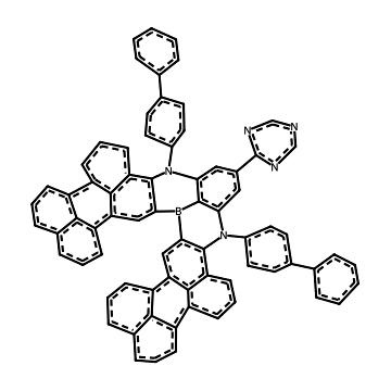 c1ccc(-c2ccc(N3c4cc(-c5ncncn5)cc5c4B(c4cc6c7cccc8cccc(c9cccc(c43)c96)c87)c3cc4c6cccc7cccc(c8cccc(c3N5c3ccc(-c5ccccc5)cc3)c84)c76)cc2)cc1